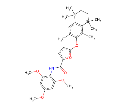 COc1cc(OC)c(NC(=O)c2ccc(Oc3c(C)cc4c(c3C)[Si](C)(C)CC[Si]4(C)C)o2)c(OC)c1